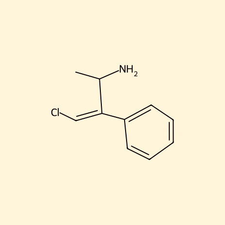 CC(N)/C(=C\Cl)c1ccccc1